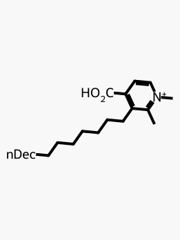 CCCCCCCCCCCCCCCCCc1c(C(=O)O)cc[n+](C)c1C